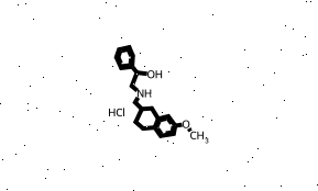 COc1ccc2c(c1)CC(CNCC(O)c1ccccc1)CC2.Cl